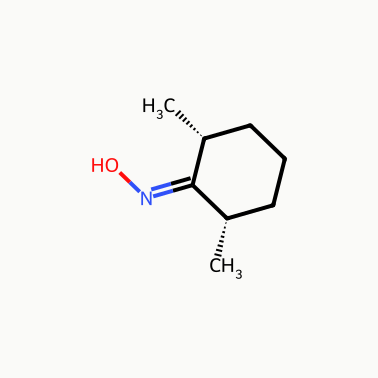 C[C@@H]1CCC[C@H](C)/C1=N/O